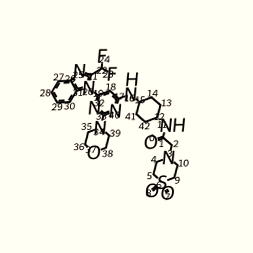 O=C(CN1CCS(=O)(=O)CC1)N[C@H]1CC[C@H](Nc2cc(-n3c(C(F)F)nc4ccccc43)nc(N3CCOCC3)n2)CC1